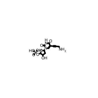 NCC#Cc1cn(C2CC(O)C(OP(=O)(O)O)O2)c(=O)[nH]c1=O